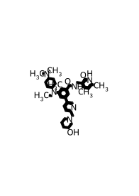 CCN(c1cc(-c2ccc(CN3CCC[C@H](O)C3)nc2)cc(C(=O)NCc2c(C)cc(C)[nH]c2=O)c1C)[C@H]1CC[C@H](N(C)C)CC1